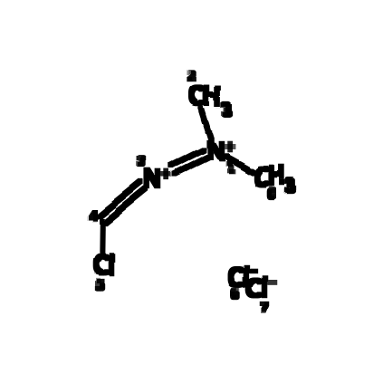 C[N+](C)=[N+]=CCl.[Cl-].[Cl-]